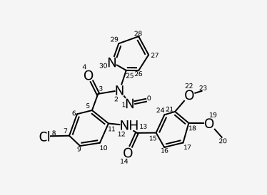 C=NN(C(=O)c1cc(Cl)ccc1NC(=O)c1ccc(OC)c(OC)c1)c1ccccn1